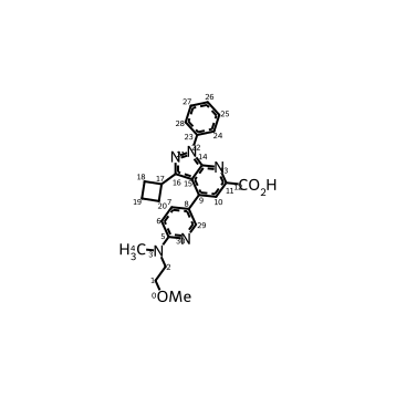 COCCN(C)c1ccc(-c2cc(C(=O)O)nc3c2c(C2CCC2)nn3-c2ccccc2)cn1